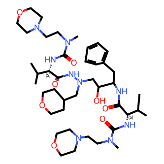 CC(C)[C@H](NC(=O)N(C)CCN1CCOCC1)C(=O)NC(Cc1ccccc1)C(O)CN(CC1CCOCC1)NC(=O)[C@@H](NC(=O)N(C)CCN1CCOCC1)C(C)C